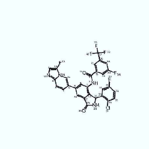 O=C(Nc1cc(-c2ccc3ncc(F)n3c2)cc2c1C(c1cc(F)ccc1Cl)NC2=O)c1cc(F)cc(C(F)(F)F)c1